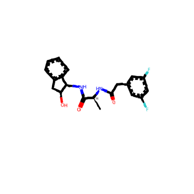 C[C@H](NC(=O)Cc1cc(F)cc(F)c1)C(=O)NC1c2ccccc2CC1O